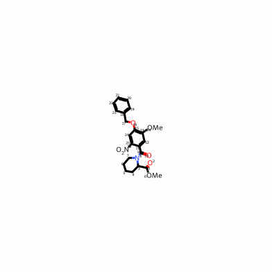 COC(=O)C1CCCCN1C(=O)c1cc(OC)c(OCc2ccccc2)cc1[N+](=O)[O-]